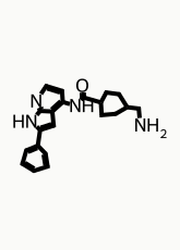 NCC1CCC(C(=O)Nc2ccnc3[nH]c(-c4ccccc4)cc23)CC1